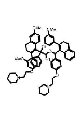 COc1cccc(C2=C(C(OC(C(O)(C3=C(c4ccccc4OC)CCc4cc(OC)ccc43)c3ccc(OCCN4CCCCC4)cc3)S(=O)(=O)O)c3ccc(OCCN4CCCCC4)cc3)c3ccccc3CC2)c1